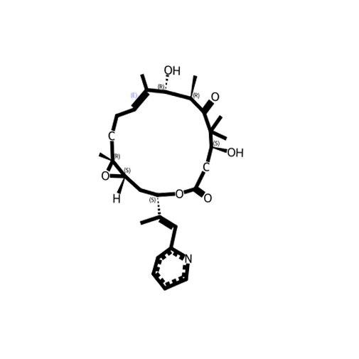 CC(=Cc1ccccn1)[C@@H]1C[C@@H]2O[C@]2(C)CC/C=C(\C)[C@H](O)[C@@H](C)C(=O)C(C)(C)[C@@H](O)CC(=O)O1